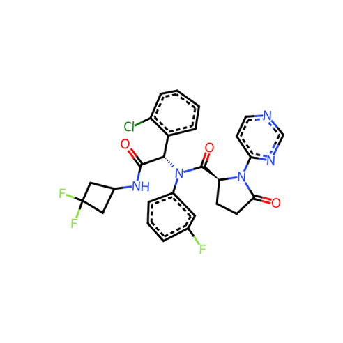 O=C(NC1CC(F)(F)C1)[C@H](c1ccccc1Cl)N(C(=O)[C@@H]1CCC(=O)N1c1ccncn1)c1cccc(F)c1